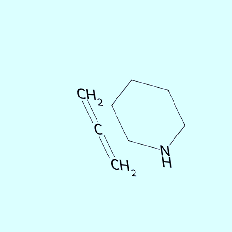 C1CCNCC1.C=C=C